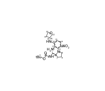 CC(C)(C)OC(=O)NC[C@@H]1CCCN1c1c([N+](=O)[O-])ccc(N[C@@H]2CCOC2)c1N